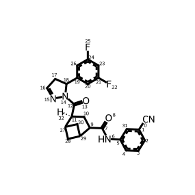 N#Cc1cccc(NC(=O)C2C[C@H](C(=O)N3N=CCC3c3cc(F)cc(F)c3)C3CC2C3)c1